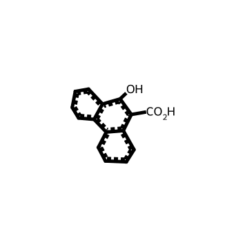 O=C(O)c1c(O)c2ccccc2c2ccccc12